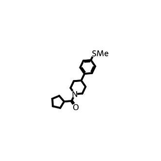 CSc1ccc(C2CCN(C(=O)C3CCCC3)CC2)cc1